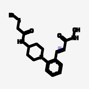 CCSCC(=O)NC1CCN(c2ccccc2/C=C/C(=O)NO)CC1